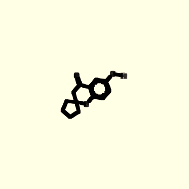 CCOc1ccc2c(c1)C(=O)CC1(CCCC1)O2